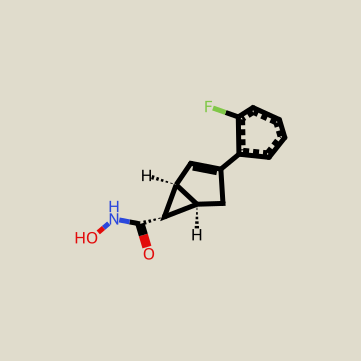 O=C(NO)[C@@H]1[C@H]2C=C(c3ccccc3F)C[C@H]21